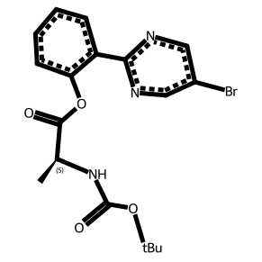 C[C@H](NC(=O)OC(C)(C)C)C(=O)Oc1ccccc1-c1ncc(Br)cn1